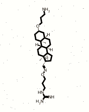 C[C@]12CC[C@H]3[C@@H](CC[C@@H]4C[C@@H](OCCCN)CC[C@@]43C)[C@H]1CC[C@@H]2/C=N/OCCCNC(=N)N